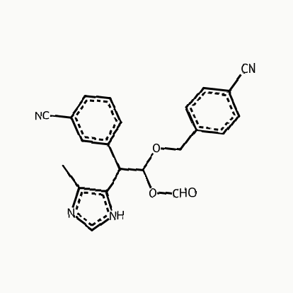 Cc1nc[nH]c1C(c1cccc(C#N)c1)C(OC=O)OCc1ccc(C#N)cc1